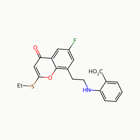 CCSc1cc(=O)c2cc(F)cc(CCNc3ccccc3C(=O)O)c2o1